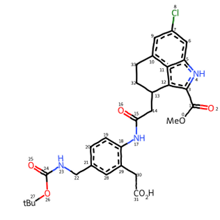 COC(=O)c1[nH]c2cc(Cl)cc3c2c1C(CC(=O)Nc1ccc(CNC(=O)OC(C)(C)C)cc1CC(=O)O)CC3